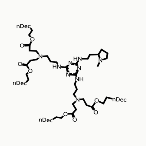 CCCCCCCCCCCCOC(=O)CCN(CCCNc1nc(NCCCN(CCC(=O)OCCCCCCCCCCCC)CCC(=O)OCCCCCCCCCCCC)nc(NCCC2CCCN2C)n1)CCC(=O)OCCCCCCCCCCCC